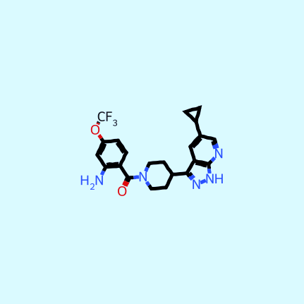 Nc1cc(OC(F)(F)F)ccc1C(=O)N1CCC(c2n[nH]c3ncc(C4CC4)cc23)CC1